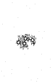 Cc1ccc(C(F)(F)F)cc1-c1cc2c(-c3cc(=O)n(C)cc3Oc3c(C)cccc3C)cn(C)c(=O)c2[nH]1